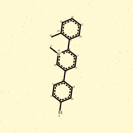 CCc1ccc(-c2ccc(-c3ccccc3C)[n+](C)c2)cc1